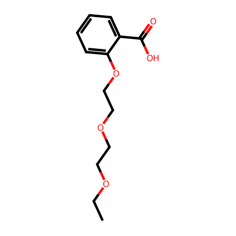 CCOCCOCCOc1ccccc1C(=O)O